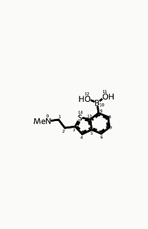 CNCCc1cc2cccc(B(O)O)c2s1